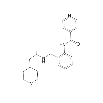 CC(CC1CCNCC1)NCc1ccccc1NC(=O)c1ccncc1